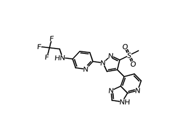 CS(=O)(=O)c1nn(-c2ccc(NCC(F)(F)F)cn2)cc1-c1ccnc2[nH]cnc12